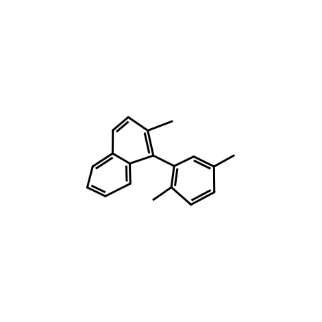 Cc1ccc(C)c(-c2c(C)ccc3ccccc23)c1